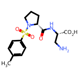 Cc1ccc(S(=O)(=O)N2CCC[C@@H]2C(=O)N[C@@H](CN)C(=O)O)cc1